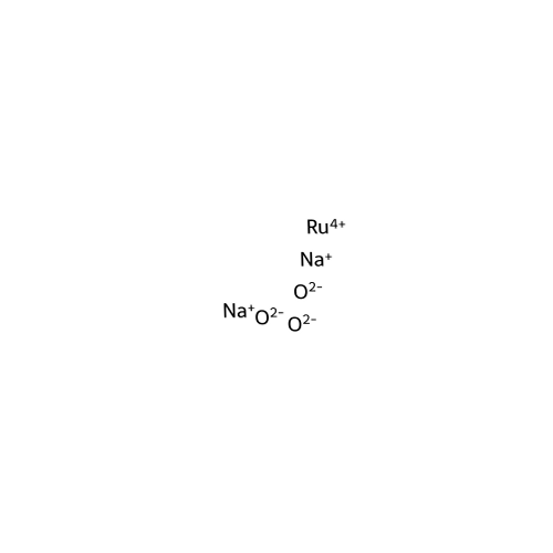 [Na+].[Na+].[O-2].[O-2].[O-2].[Ru+4]